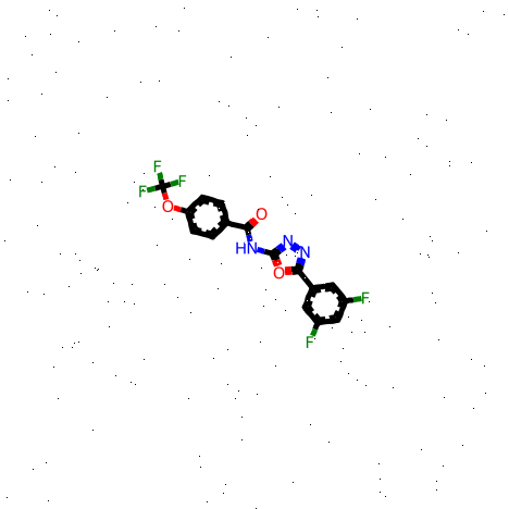 O=C(Nc1nnc(-c2cc(F)cc(F)c2)o1)c1ccc(OC(F)(F)F)cc1